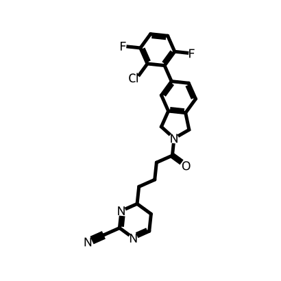 N#CC1=NC(CCCC(=O)N2Cc3ccc(-c4c(F)ccc(F)c4Cl)cc3C2)CC=N1